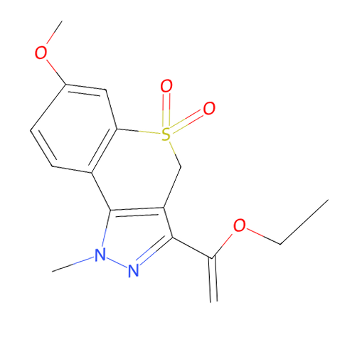 C=C(OCC)c1nn(C)c2c1CS(=O)(=O)c1cc(OC)ccc1-2